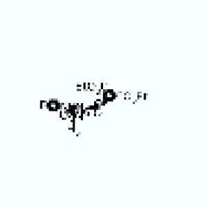 CCOC(=O)c1cc(COC(=O)CSc2ncc(C(=O)Nc3ccc(F)cc3)c(N)n2)cc(C(=O)OCC)c1